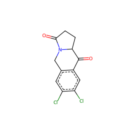 O=C1c2cc(Cl)c(Cl)cc2CN2C(=O)CCC12